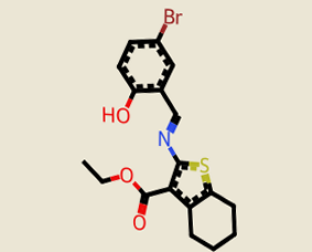 CCOC(=O)c1c(N=Cc2cc(Br)ccc2O)sc2c1CCCC2